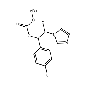 CCCCOC(=O)OC(c1ccc(Cl)cc1)C(Cl)n1ccnc1